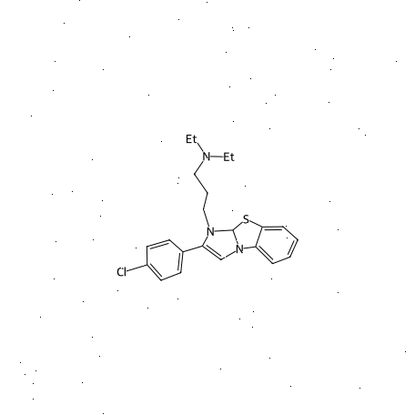 CCN(CC)CCCN1C(c2ccc(Cl)cc2)=CN2c3ccccc3SC12